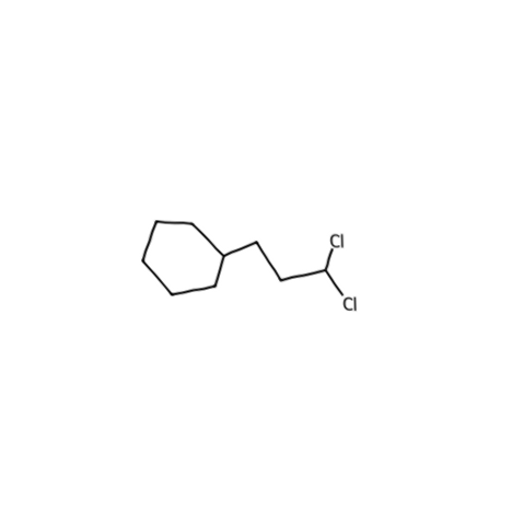 ClC(Cl)CCC1CCCCC1